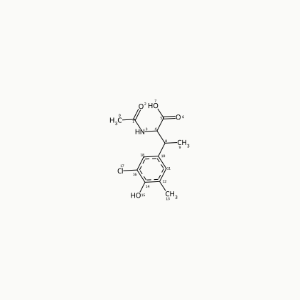 CC(=O)NC(C(=O)O)C(C)c1cc(C)c(O)c(Cl)c1